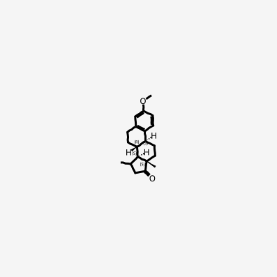 COc1ccc2c(c1)CC[C@@H]1[C@@H]2CC[C@]2(C)C(=O)CC(C)[C@@H]12